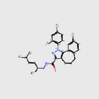 CCC(CC)CCC(C)CNC(=O)c1nn(-c2ccc(Cl)cc2Cl)c2c1CCCc1ccc(Cl)cc1-2